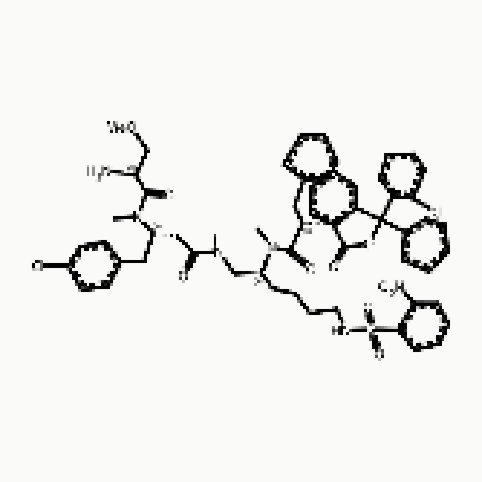 COC[C@H](N)C(=O)N(C)[C@H](CC(=O)NC[C@H](CCCCNS(=O)(=O)c1ccccc1[N+](=O)[O-])N(C)C(=O)[C@@H](CC(=O)OC(c1ccccc1)(c1ccccc1)c1ccccc1Cl)Cc1ccccc1)Cc1ccc(Cl)cc1